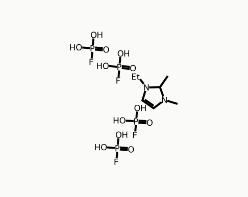 CCN1C=CN(C)C1C.O=P(O)(O)F.O=P(O)(O)F.O=P(O)(O)F.O=P(O)(O)F